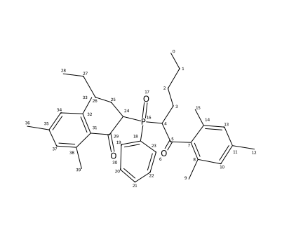 CCCCC(C(=O)c1c(C)cc(C)cc1C)P(=O)(c1ccccc1)C(CCCC)C(=O)c1c(C)cc(C)cc1C